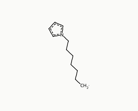 [CH2]CCCCCCn1cccc1